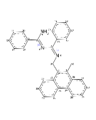 Cc1c(C/N=C(\N=C(/N)c2ccccc2)c2ccccc2)c2ccccc2c2ccccc12